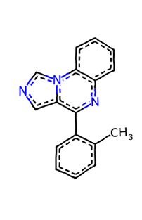 Cc1ccccc1-c1nc2ccccc2n2cncc12